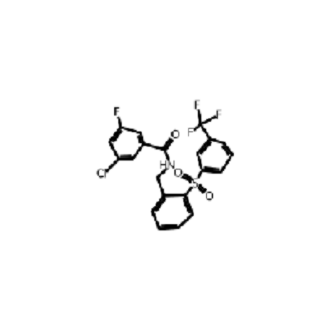 O=C(NCc1ccccc1S(=O)(=O)c1cccc(C(F)(F)F)c1)c1cc(F)cc(Cl)c1